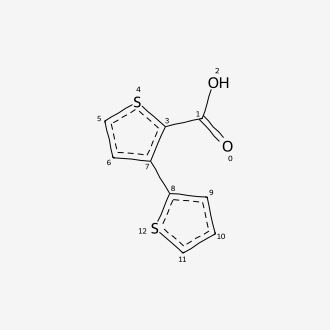 O=C(O)c1sccc1-c1cccs1